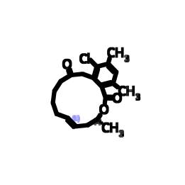 Cc1cc(C)c2c(c1Cl)CC(=O)CCCC/C=C/C[C@@H](C)OC2=O